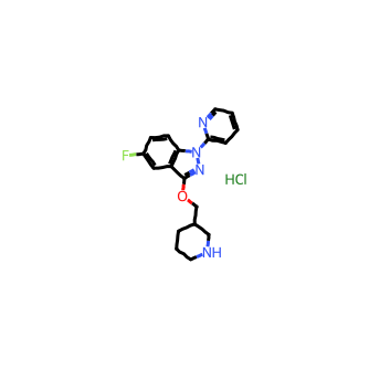 Cl.Fc1ccc2c(c1)c(OCC1CCCNC1)nn2-c1ccccn1